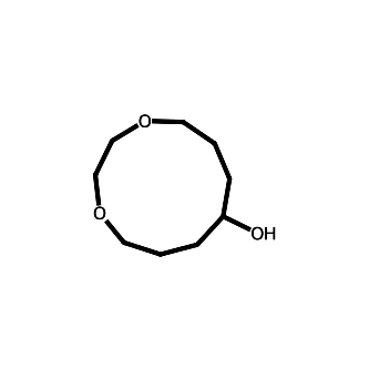 OC1CCCOCCOCCC1